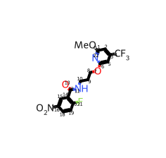 COc1cc(C(F)(F)F)cc(OCCCNC(=O)c2cc([N+](=O)[O-])ccc2F)n1